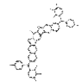 Cc1ccc(N(c2ccc3cc4c(cc3c2)oc2c(C)c3oc5cc6cc(N(c7ccc(C)cc7)c7ccc(C)c(C)c7C)ccc6cc5c3cc24)c2ccc(C)c(C)c2C)cc1